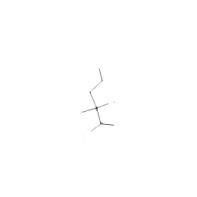 CCCC(N)(O)C(C)C